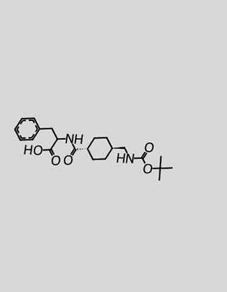 CC(C)(C)OC(=O)NC[C@H]1CC[C@H](C(=O)NC(Cc2ccccc2)C(=O)O)CC1